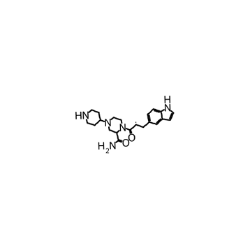 NC(=O)C1CN(C2CCNCC2)CCN1C(=O)[CH]Cc1ccc2[nH]ccc2c1